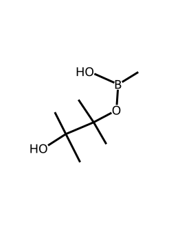 CB(O)OC(C)(C)C(C)(C)O